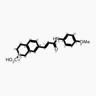 COc1ccc(NC(=O)/C=C/c2ccc3c(c2)CN(C(=O)O)CC3)cc1